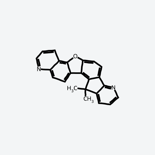 CC1(C)c2cccnc2-c2ccc3oc4c5cccnc5ccc4c3c21